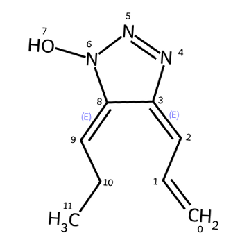 C=C/C=c1/nnn(O)/c1=C/CC